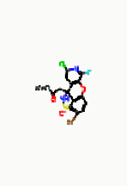 COC(=O)CC1(N[S+](C)[O-])c2cc(Br)ccc2Oc2c1cc(Cl)nc2F